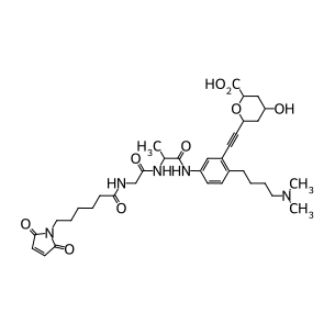 CC(NC(=O)CNC(=O)CCCCCN1C(=O)C=CC1=O)C(=O)Nc1ccc(CCCCN(C)C)c(C#CC2CC(O)CC(C(=O)O)O2)c1